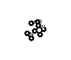 c1ccc(-n2ccoc3cc4c(cc32)c2ccc(-n3c5ccccc5c5ccccc53)cc2c2ccccc2c2cccnc24)cc1